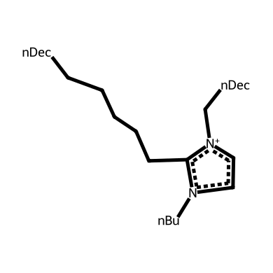 CCCCCCCCCCCCCCCc1n(CCCC)cc[n+]1CCCCCCCCCCC